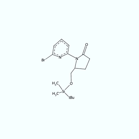 CC(C)(C)[Si](C)(C)OCC1CCC(=O)N1c1cccc(Br)n1